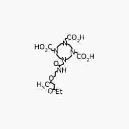 CCC(=O)CC(C)OCCNC(=O)CN1CCN(CC(=O)O)CCN(CC(=O)O)CCN(CC(=O)O)CC1